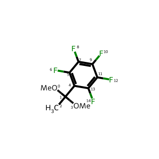 COC(C)(OC)c1c(F)c(F)c(F)c(F)c1F